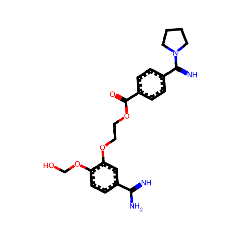 N=C(N)c1ccc(OCO)c(OCCOC(=O)c2ccc(C(=N)N3CCCC3)cc2)c1